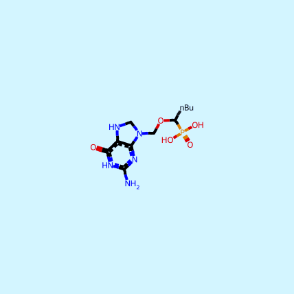 CCCCC(OCN1CNc2c1nc(N)[nH]c2=O)P(=O)(O)O